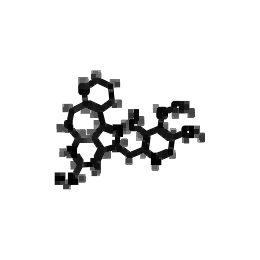 COc1c(C)cnc(Cn2nc3c4c(nc(N)nc42)SCC2=C3CCCO2)c1C